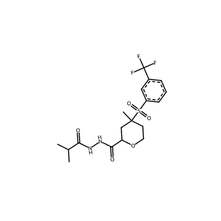 CC(C)C(=O)NNC(=O)C1CC(C)(S(=O)(=O)c2cccc(C(F)(F)F)c2)CCO1